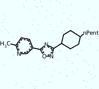 CCCCCC1CCC(c2noc(-c3ccc(C)nc3)n2)CC1